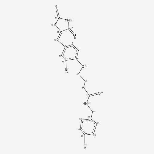 O=C(CCCOc1ccc(C=C2SC(=S)NC2=O)cc1Br)NCc1ccc(Cl)cc1